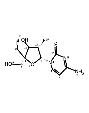 Nc1ccn([C@@H]2O[C@@](CO)(CF)C(O)[C@@H]2F)c(=S)n1